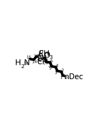 CCCCCCCCCCCCCCCCCC(=O)[N+](C)(C)CCCN